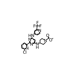 COC(=O)N1CCC(Nc2cc(Nc3ccnc(C(F)(F)F)c3)nc(-c3cccc(Cl)n3)n2)CC1